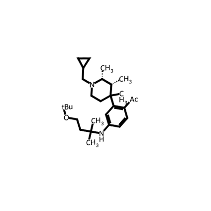 CC(=O)c1ccc(NC(C)(C)CCOC(C)(C)C)cc1C1(C)CCN(CC2CC2)[C@H](C)[C@@H]1C